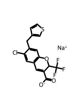 O=C([O-])C1=Cc2cc(Cl)c(Cc3ccsc3)cc2OC1C(F)(F)F.[Na+]